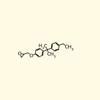 CCc1ccc(C(C)(C)c2ccc(OCC3CO3)cc2)cc1